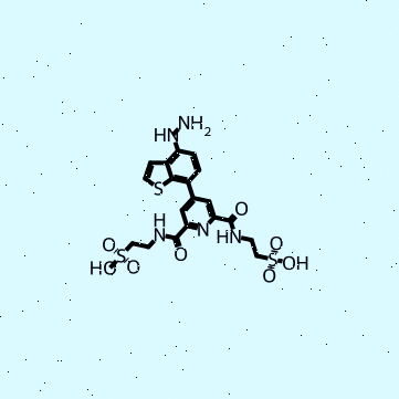 NNc1ccc(-c2cc(C(=O)NCCS(=O)(=O)O)nc(C(=O)NCCS(=O)(=O)O)c2)c2sccc12